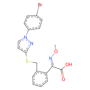 CON=C(C(=O)O)c1ccccc1CSc1ccn(-c2ccc(Br)cc2)n1